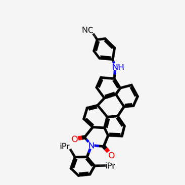 CC(C)c1cccc(C(C)C)c1N1C(=O)c2ccc3c4cccc5c(Nc6ccc(C#N)cc6)ccc(c6ccc(c2c36)C1=O)c54